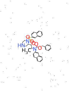 CC(C(=O)C1CNCCN1S(=O)(=O)c1ccc2ccccc2c1)N(C(=O)OCc1ccccc1)c1ccc2ccccc2c1